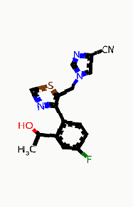 CC(O)c1cc(F)ccc1-c1ncsc1Cn1cnc(C#N)c1